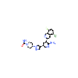 NC(=O)N1CCC(n2cc(-c3cnc(N)c(-c4cc5c(Cl)ccc(F)c5cn4)c3)cn2)CC1